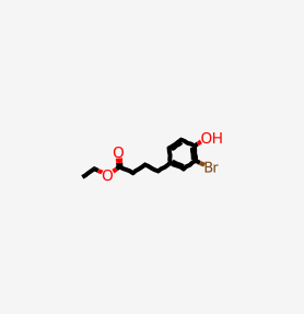 CCOC(=O)CCCc1ccc(O)c(Br)c1